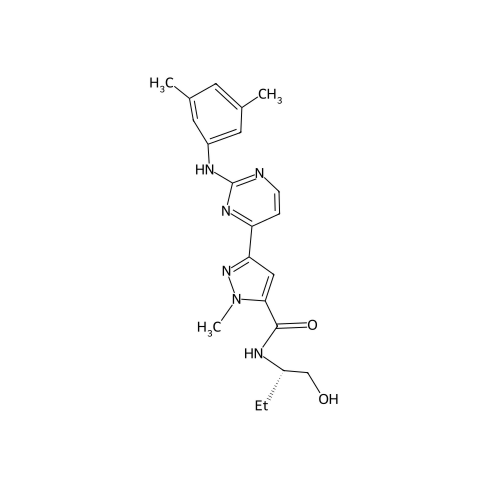 CC[C@@H](CO)NC(=O)c1cc(-c2ccnc(Nc3cc(C)cc(C)c3)n2)nn1C